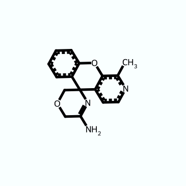 Cc1nccc2c1Oc1ccccc1C21COCC(N)=N1